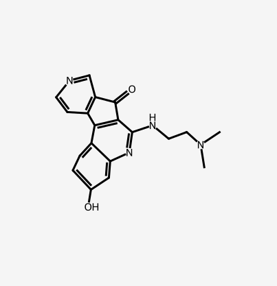 CN(C)CCNc1nc2cc(O)ccc2c2c1C(=O)c1cnccc1-2